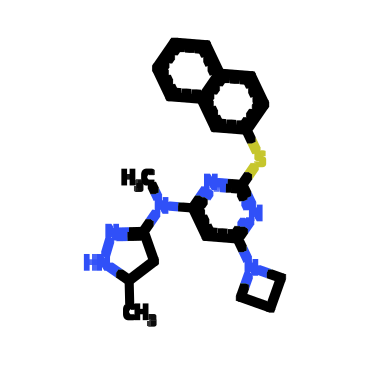 CC1CC(N(C)c2cc(N3CCC3)nc(Sc3ccc4ccccc4c3)n2)=NN1